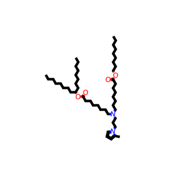 CCCCCCCCCOC(=O)CCCCCCCN(CCCCCCCC(=O)OC(CCCCCCCC)CCCCCCCC)CCCn1cccc1C